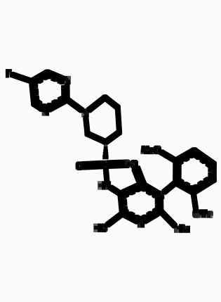 CCCCc1nc(O)c(NS(=O)(=O)[C@H]2CCCN(c3ncc(F)cn3)C2)c(=O)n1-c1c(OC)cccc1OC